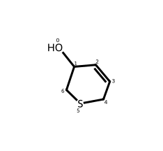 OC1C=CCSC1